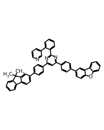 CC1(C)c2ccccc2-c2ccc(-c3ccc(-c4cc(-c5ccc(-c6ccc7oc8ccccc8c7c6)cc5)nc(-c5ccccc5-c5cccnc5)n4)cc3)cc21